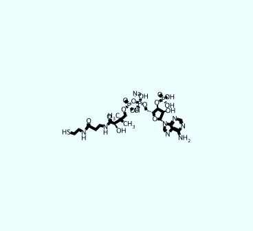 CC(C)(COP(=O)(O)OP(=O)(O)OC[C@H]1O[C@@H](n2cnc3c(N)ncnc32)[C@H](O)[C@@H]1OP(=O)(O)O)[C@@H](O)C(=O)NCCC(=O)NCCS.[Na]